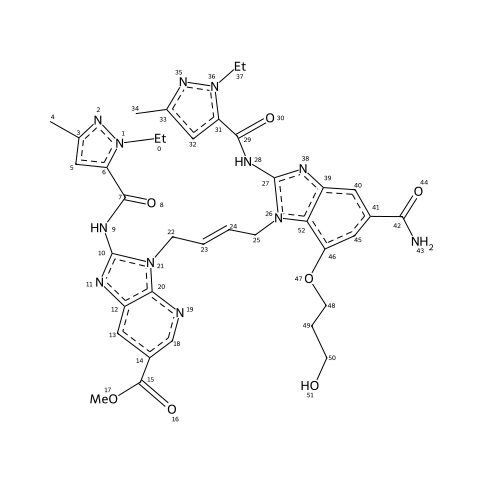 CCn1nc(C)cc1C(=O)Nc1nc2cc(C(=O)OC)cnc2n1C/C=C/Cn1c(NC(=O)c2cc(C)nn2CC)nc2cc(C(N)=O)cc(OCCCO)c21